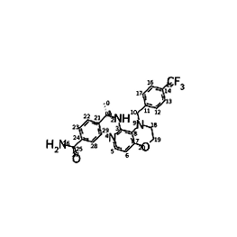 C[C@H](Nc1nccc2c1N(Cc1ccc(C(F)(F)F)cc1)CCO2)c1ccc(C(N)=O)cc1